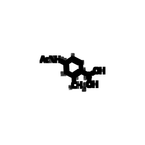 CC(=O)Nc1ccc(B(O)O)c(C)c1